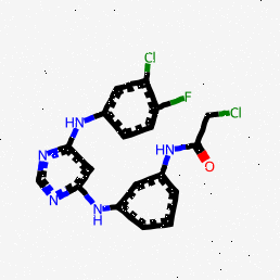 O=C(CCl)Nc1cccc(Nc2cc(Nc3ccc(F)c(Cl)c3)ncn2)c1